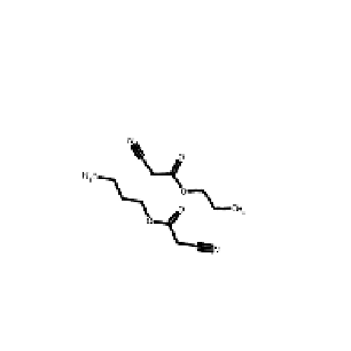 CCCCOC(=O)CC#N.CCCOC(=O)CC#N